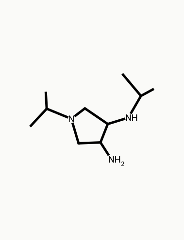 CC(C)NC1CN(C(C)C)CC1N